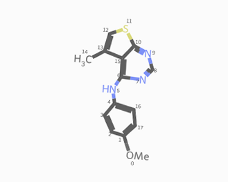 COc1ccc(Nc2ncnc3scc(C)c23)cc1